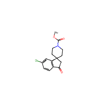 CC(C)(C)OC(=O)N1CCC2(CC1)CC(=O)c1ccc(Cl)cc12